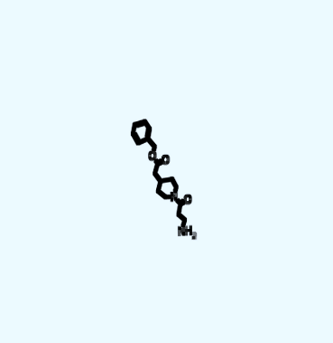 NCCC(=O)N1CCC(CC(=O)OCc2ccccc2)CC1